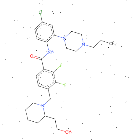 O=C(Nc1ccc(Cl)cc1N1CCN(CCC(F)(F)F)CC1)c1ccc(CN2CCCCC2CCO)c(F)c1F